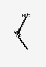 CCCCCCCCCCCCC(=O)O[C@H](CO)COCOCCCCCCCCCCCNC(C)=O